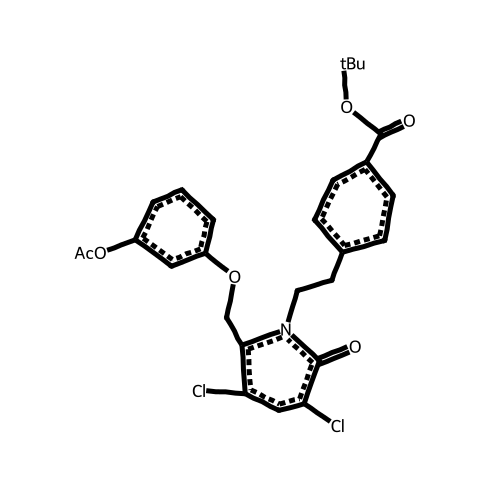 CC(=O)Oc1cccc(OCc2c(Cl)cc(Cl)c(=O)n2CCc2ccc(C(=O)OC(C)(C)C)cc2)c1